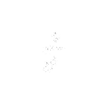 CNCC(=O)C(CNC(=O)OC(C)(C)C)CN1CCC(CCCN2c3ccccc3Sc3ccc(C(F)(F)F)cc32)CC1